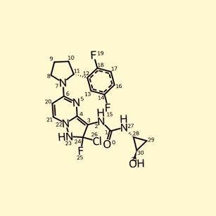 O=C(NC1=C2N=C(N3CCC[C@@H]3c3cc(F)ccc3F)C=CN2NC1(F)Cl)N[C@@H]1C[C@H]1O